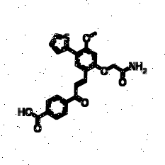 COc1cc(OCC(N)=O)c(C=CC(=O)c2ccc(C(=O)O)cc2)cc1-c1cccs1